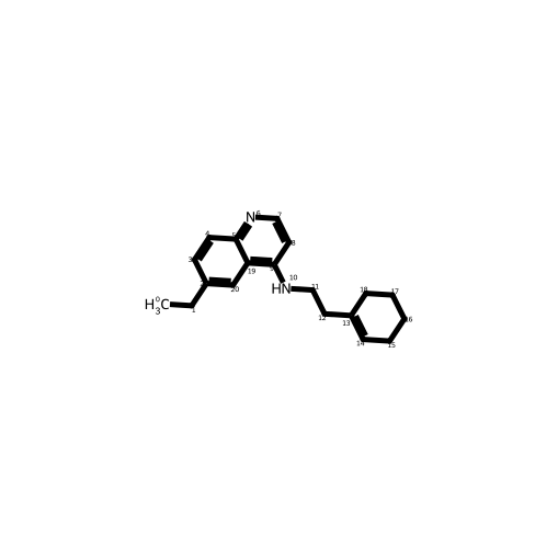 CCc1ccc2nccc(NCCC3=CCCCC3)c2c1